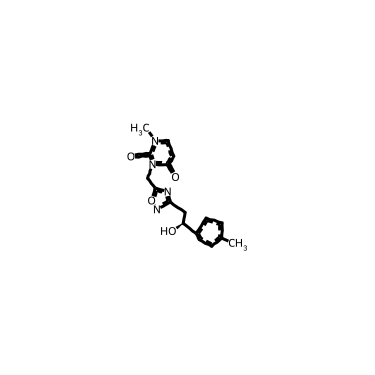 Cc1ccc([C@@H](O)Cc2noc(Cn3c(=O)ccn(C)c3=O)n2)cc1